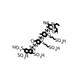 C=Cc1nc2c(C#N)c(C)c(N=Nc3cc(C)c(N=Nc4cc(Cl)c(N=Nc5nc6c(S(=O)(=O)O)cc7c(S(=O)(=O)O)cc(S(=O)(=O)O)cc7c6s5)cc4SCCCS(=O)(=O)O)cc3OCCCS(=O)(=O)O)c(O)n2c1/C=C\C